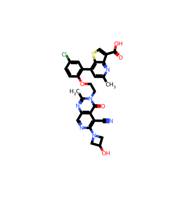 Cc1cc(-c2cc(Cl)ccc2OCCn2c(C)nc3cnc(N4CC(O)C4)c(C#N)c3c2=O)c2scc(C(=O)O)c2n1